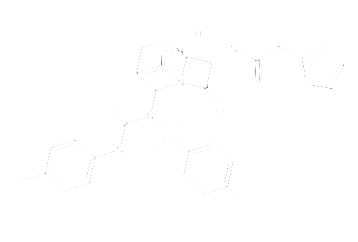 Cc1ccc(S(=O)(=O)N(C(=O)Nc2ccc(Cl)cc2)C2C3=C(C(=O)O)[N+]24C(=O)[C@@H](NC(=O)Cc2cccs2)[C@@H]4SC3)cc1